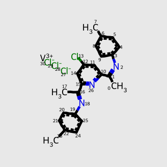 CC(=Nc1ccc(C)cc1)c1cc(Cl)cc(C(C)=Nc2ccc(C)cc2)n1.[Cl-].[Cl-].[Cl-].[V+3]